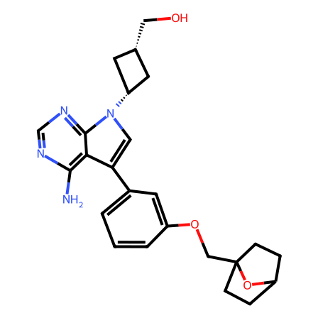 Nc1ncnc2c1c(-c1cccc(OCC34CCC(CC3)O4)c1)cn2[C@H]1C[C@@H](CO)C1